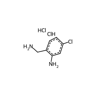 Cl.Cl.NCc1ccc(Cl)cc1N